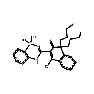 CCCCC1(CCCC)C(=O)C(C2=NS(O)(O)c3ccccc3N2)=C(O)c2ccccc21